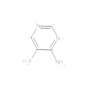 Bc1cncnc1N